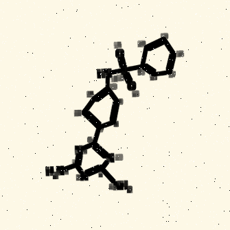 Nc1nc(N)nc(-c2ccc(NS(=O)(=O)c3ccccc3)cc2)n1